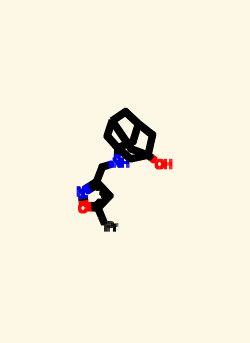 CC(C)c1cc(CNC23CC4CC(CC(O)(C4)C2)C3)no1